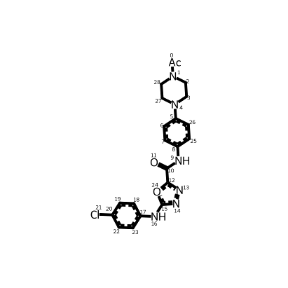 CC(=O)N1CCN(c2ccc(NC(=O)c3nnc(Nc4ccc(Cl)cc4)o3)cc2)CC1